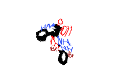 O=C(Nc1c(Br)cccc1Br)Nc1c(O)c(=O)[nH]c2ccccc2c1=O